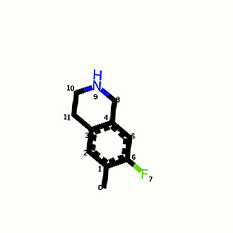 Cc1cc2c(cc1F)CNCC2